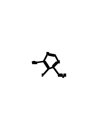 CC(C)(C)c1ncnc(C(=O)O)c1F